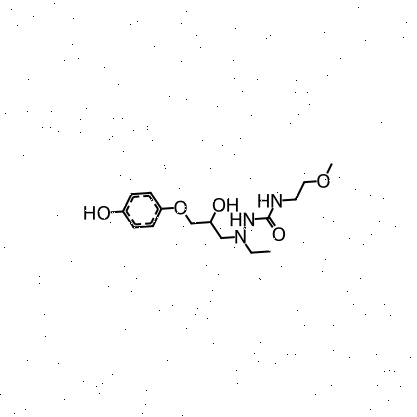 CCN(CC(O)COc1ccc(O)cc1)NC(=O)NCCOC